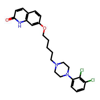 O=c1ccc2ccc(OCCCCCN3CCN(c4cccc(Cl)c4Cl)CC3)cc2[nH]1